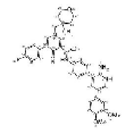 COc1ccc(C2=CNC(N)C(c3ccc(NC(=O)c4cn(CC5(C)CCOCC5)cc(-c5ccc(F)cc5)c4=O)cc3)=C2)cc1OC